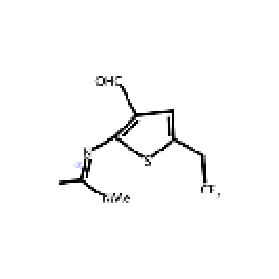 CN/C(C)=N\c1sc(CC(F)(F)F)cc1C=O